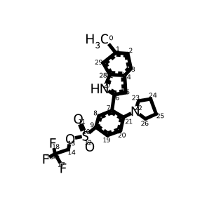 Cc1ccc2cc(-c3cc(S(=O)(=O)OCC(F)(F)F)ccc3N3CCCC3)[nH]c2c1